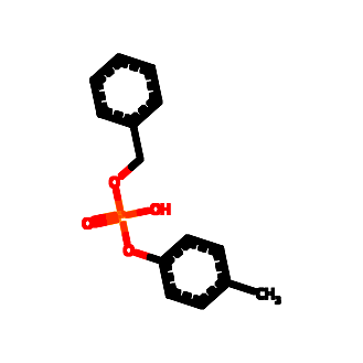 Cc1ccc(OP(=O)(O)OCc2ccccc2)cc1